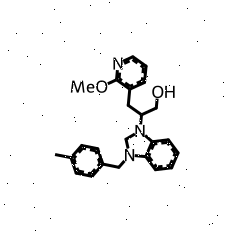 COc1ncccc1CC(CO)N1CN(Cc2ccc(C)cc2)c2ccccc21